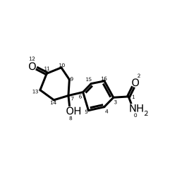 NC(=O)c1ccc(C2(O)CCC(=O)CC2)cc1